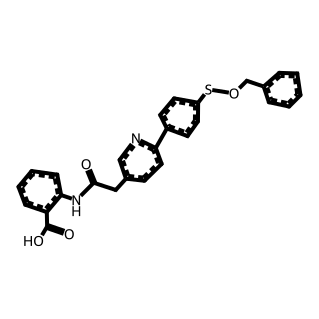 O=C(Cc1ccc(-c2ccc(SOCc3ccccc3)cc2)nc1)Nc1ccccc1C(=O)O